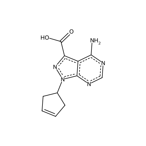 Nc1ncnc2c1c(C(=O)O)nn2C1CC=CC1